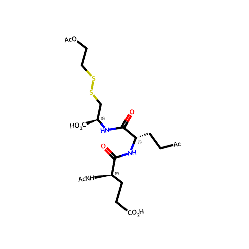 CC(=O)CC[C@H](NC(=O)[C@@H](CCC(=O)O)NC(C)=O)C(=O)N[C@H](CSSCCOC(C)=O)C(=O)O